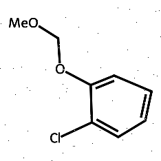 COCOc1ccccc1Cl